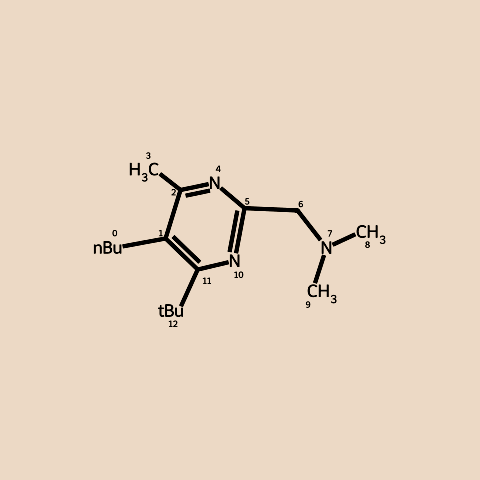 CCCCc1c(C)nc(CN(C)C)nc1C(C)(C)C